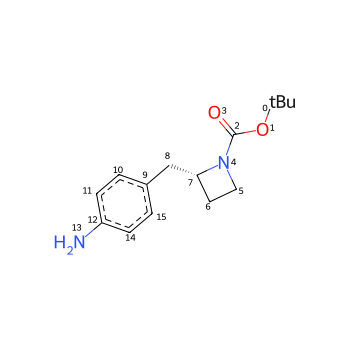 CC(C)(C)OC(=O)N1CC[C@@H]1Cc1ccc(N)cc1